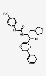 O=C(Nc1ccc(C(F)(F)F)cc1)N[C@H](CN1CCCC1)[C@@H](O)C1=COC=C(C2=CC=CCC2)O1